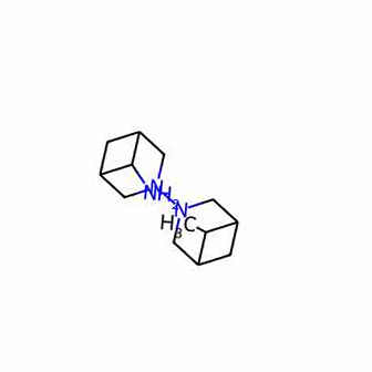 CC1C2CC1CN(N1CC3CC(C1)C3N)C2